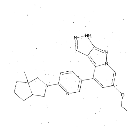 CCOc1cc(-c2ccc(N3CC4CCCC4(C)C3)nc2)c2c3cn[nH]c3nn2c1